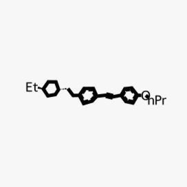 CCCOc1ccc(C#Cc2ccc(CC[C@H]3CC[C@H](CC)CC3)cc2)cc1